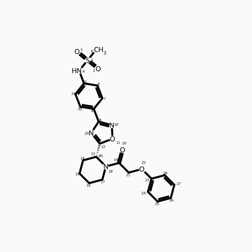 CS(=O)(=O)Nc1ccc(-c2noc([C@H]3CCCCN3C(=O)COc3ccccc3)n2)cc1